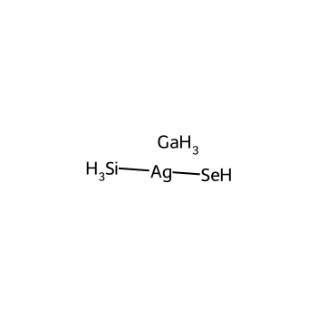 [GaH3].[SiH3][Ag][SeH]